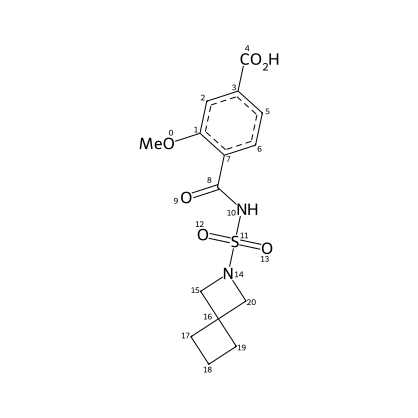 COc1cc(C(=O)O)ccc1C(=O)NS(=O)(=O)N1CC2(CCC2)C1